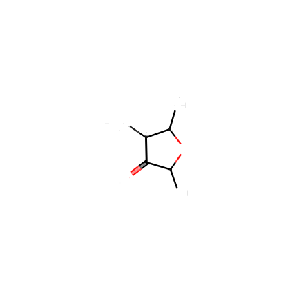 CC1OC(C)C(C(=O)O)C1=O